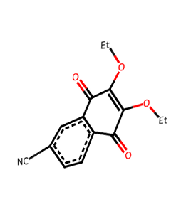 CCOC1=C(OCC)C(=O)c2cc(C#N)ccc2C1=O